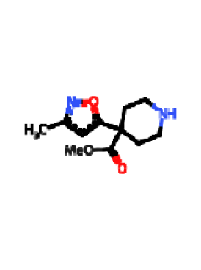 COC(=O)C1(c2cc(C)no2)CCNCC1